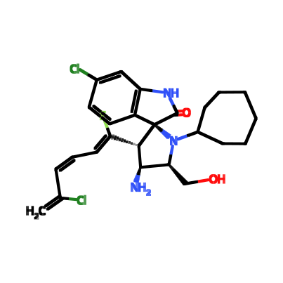 C=C(Cl)/C=C\C=C(/F)[C@H]1[C@H](N)[C@H](CO)N(C2CCCCCC2)[C@@]12C(=O)Nc1cc(Cl)ccc12